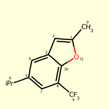 Cc1cc2cc(C(C)C)cc(C(F)(F)F)c2o1